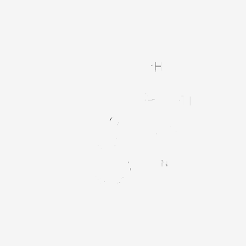 [2H]CC([2H])([2H])c1ccnc(-c2cccc3c2oc2ccccc23)c1